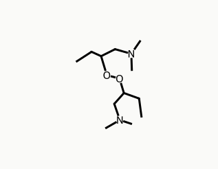 CCC(CN(C)C)OOC(CC)CN(C)C